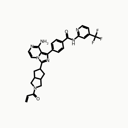 C=CC(=O)N1CC2CC(c3nc(-c4ccc(C(=O)Nc5cc(C(F)(F)F)ccn5)cc4)c4c(N)nccn34)CC2C1